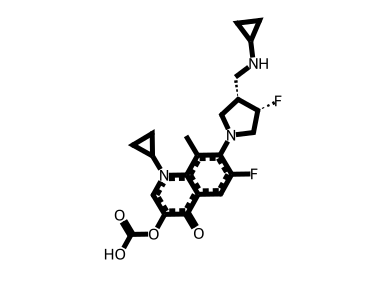 Cc1c(N2C[C@H](CNC3CC3)[C@H](F)C2)c(F)cc2c(=O)c(OC(=O)O)cn(C3CC3)c12